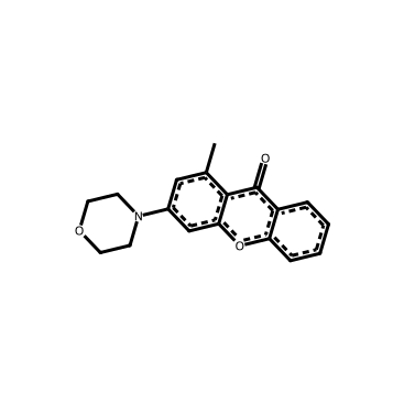 Cc1cc(N2CCOCC2)cc2oc3ccccc3c(=O)c12